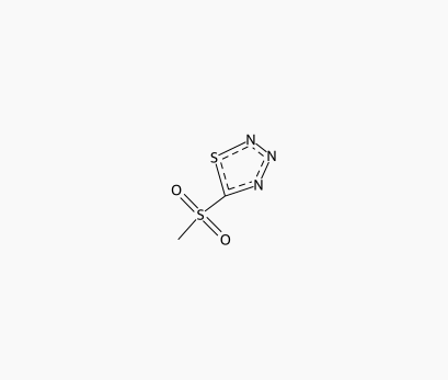 CS(=O)(=O)c1nnns1